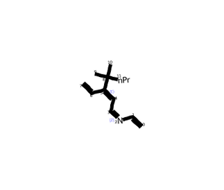 C=C/N=C\C=C(/C=C)C(C)(C)CCC